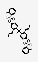 CC=Cc1cc(OS(=O)(=O)c2ccccc2C)ccc1C(C)(C)c1ccc(OS(=O)(=O)c2ccccc2C)cc1C=CC